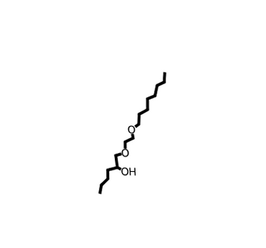 CCCCCCCCOCCOCC(O)CCCC